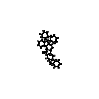 c1ccc(C2(c3ccc4c(c3)[nH]c3cc5sc6ccccc6c5cc34)c3ccccc3-c3ccccc32)cc1